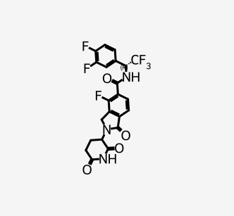 O=C1CCC(N2Cc3c(ccc(C(=O)N[C@H](c4ccc(F)c(F)c4)C(F)(F)F)c3F)C2=O)C(=O)N1